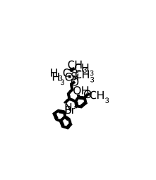 COc1ccc(Br)c(C(C=Nc2cccc3ccccc23)CCCO[Si](C)(C)C(C)(C)C)c1O